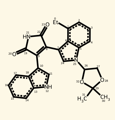 CCc1cccc2c1c(C1=C(c3c[nH]c4ccccc34)C(=O)NC1=O)cn2C1COC(C)(C)O1